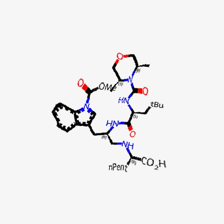 CCCCC[C@@H](NC[C@@H](Cc1cn(C(=O)OC)c2ccccc12)NC(=O)[C@H](CC(C)(C)C)NC(=O)N1[C@H](C)COC[C@@H]1C)C(=O)O